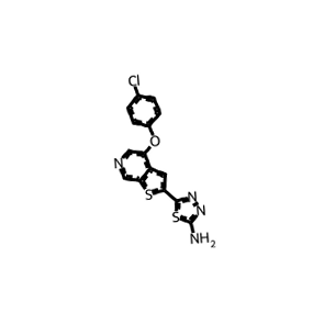 Nc1nnc(-c2cc3c(Oc4ccc(Cl)cc4)cncc3s2)s1